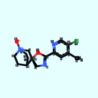 Cc1cc(C2=NC[C@@]3(C[N+]4([O-])CCC3CC4)O2)ncc1Cl